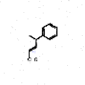 CC(/C=C/C=O)c1ccccc1